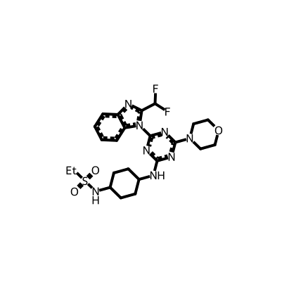 CCS(=O)(=O)NC1CCC(Nc2nc(N3CCOCC3)nc(-n3c(C(F)F)nc4ccccc43)n2)CC1